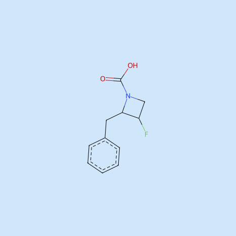 O=C(O)N1CC(F)C1Cc1ccccc1